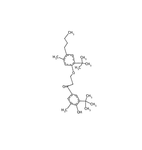 CCCCc1cc(C(C)(C)C)c(OCCC(=O)c2cc(C)c(O)c(C(C)(C)C)c2)cc1C